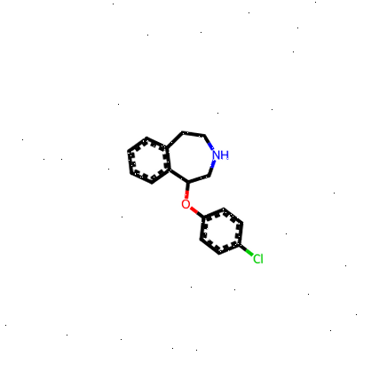 Clc1ccc(OC2CNCCc3ccccc32)cc1